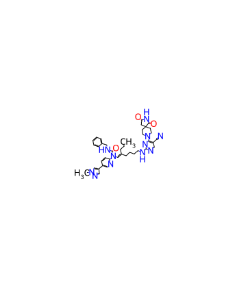 CCC/C(=C\N(C(=O)NCc1ccccc1)c1ccc(-c2cnn(C)c2)cn1)CCCCNc1ncc(C#N)c(N2CCC3(CC2)CC(=O)NC3=O)n1